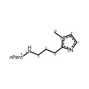 CCCCCNCCCc1nccn1C